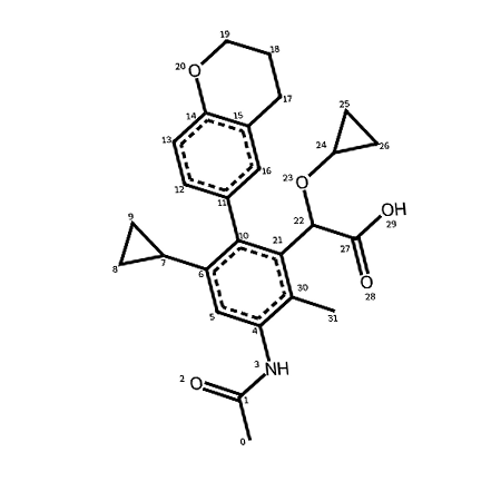 CC(=O)Nc1cc(C2CC2)c(-c2ccc3c(c2)CCCO3)c(C(OC2CC2)C(=O)O)c1C